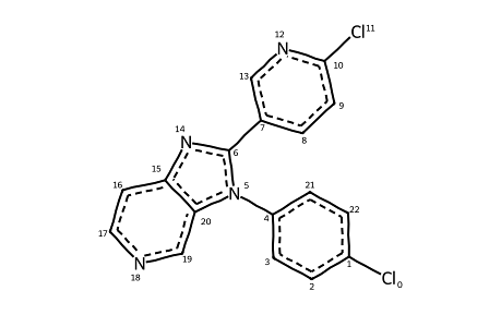 Clc1ccc(-n2c(-c3ccc(Cl)nc3)nc3ccncc32)cc1